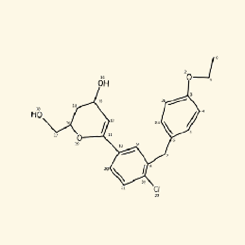 CCOc1ccc(Cc2cc(C3=CC(O)CC(CO)O3)ccc2Cl)cc1